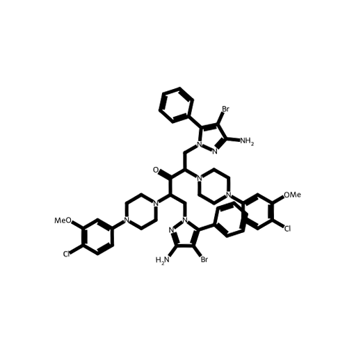 COc1cc(N2CCN(C(Cn3nc(N)c(Br)c3-c3ccccc3)C(=O)C(Cn3nc(N)c(Br)c3-c3ccccc3)N3CCN(c4ccc(Cl)c(OC)c4)CC3)CC2)ccc1Cl